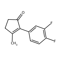 CC1=C(c2ccc(F)c(F)c2)C(=O)CC1